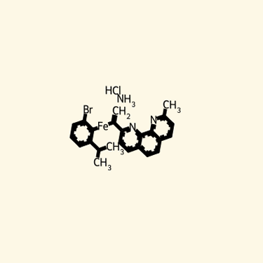 C=[C]([Fe][c]1c(Br)cccc1C(C)C)c1ccc2ccc3ccc(C)nc3c2n1.Cl.N